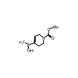 CB(O)C1=CCN(C(=O)OC(C)(C)C)CC1